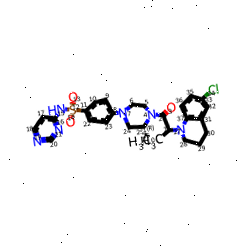 CC(C(=O)N1CCN(c2ccc(S(=O)(=O)Nc3ccncn3)cc2)C[C@H]1C)N1CCCc2cc(Cl)ccc21